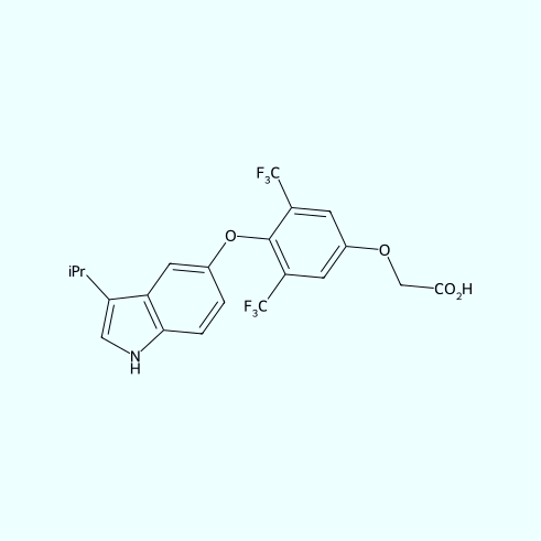 CC(C)c1c[nH]c2ccc(Oc3c(C(F)(F)F)cc(OCC(=O)O)cc3C(F)(F)F)cc12